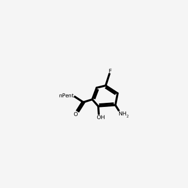 CCCCCC(=O)c1cc(F)cc(N)c1O